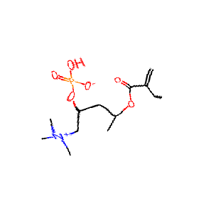 C=C(C)C(=O)OC(C)CC(C[N+](C)(C)C)OP(=O)([O-])O